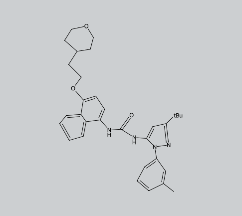 Cc1cccc(-n2nc(C(C)(C)C)cc2NC(=O)Nc2ccc(OCCC3CCOCC3)c3ccccc23)c1